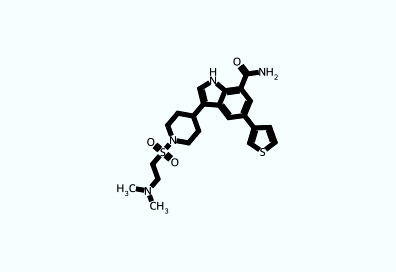 CN(C)CCS(=O)(=O)N1CCC(c2c[nH]c3c(C(N)=O)cc(-c4ccsc4)cc23)CC1